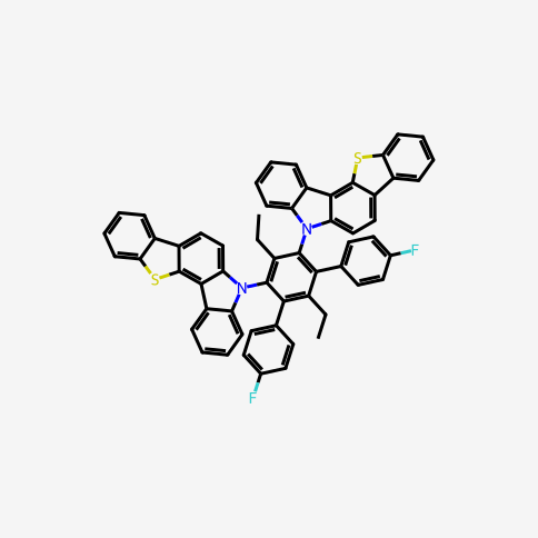 CCc1c(-c2ccc(F)cc2)c(-n2c3ccccc3c3c4sc5ccccc5c4ccc32)c(CC)c(-n2c3ccccc3c3c4sc5ccccc5c4ccc32)c1-c1ccc(F)cc1